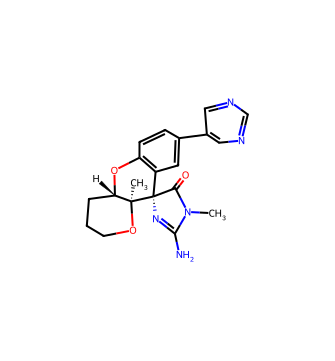 CN1C(=O)[C@]2(N=C1N)c1cc(-c3cncnc3)ccc1O[C@H]1CCCO[C@@]12C